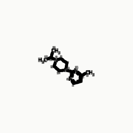 Cc1ccnc(N2CCN(C(C)C)CC2)n1